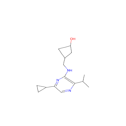 CC(C)c1ncc(C2CC2)nc1NCC1CC(O)C1